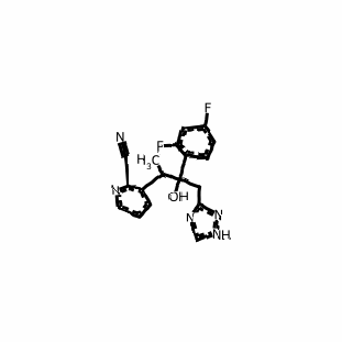 CC(c1cccnc1C#N)C(O)(Cc1nc[nH]n1)c1ccc(F)cc1F